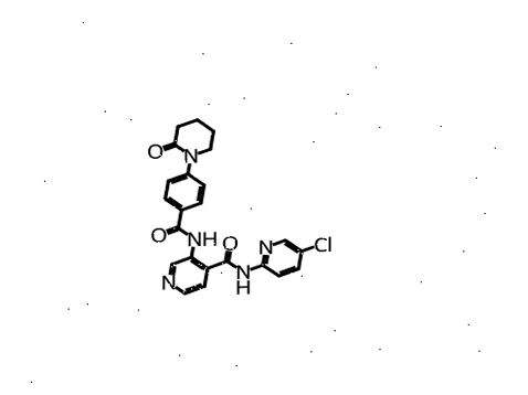 O=C(Nc1cnccc1C(=O)Nc1ccc(Cl)cn1)c1ccc(N2CCCCC2=O)cc1